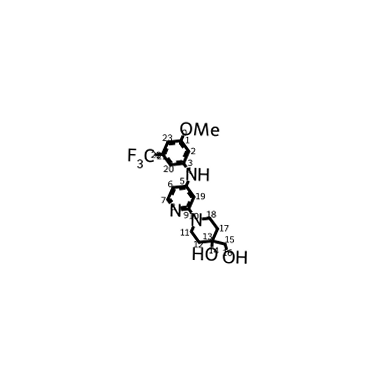 COc1cc(Nc2ccnc(N3CCC(O)(CO)CC3)c2)cc(C(F)(F)F)c1